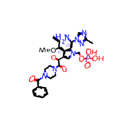 C=C/C(OC)=c1/c(C(=O)C(=O)N2CCN(C(=O)c3ccccc3)CC2)cn(COP(=O)(O)O)/c1=C(/N)n1cnc(C)n1